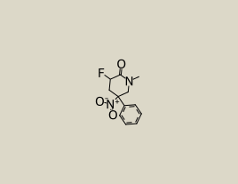 CN1CC(c2ccccc2)([N+](=O)[O-])CC(F)C1=O